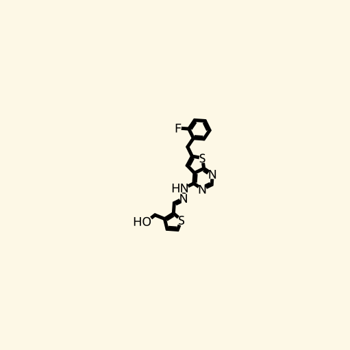 OCc1ccsc1C=NNc1ncnc2sc(Cc3ccccc3F)cc12